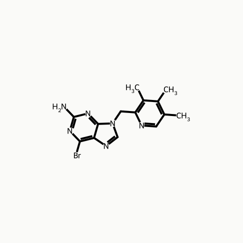 Cc1cnc(Cn2cnc3c(Br)nc(N)nc32)c(C)c1C